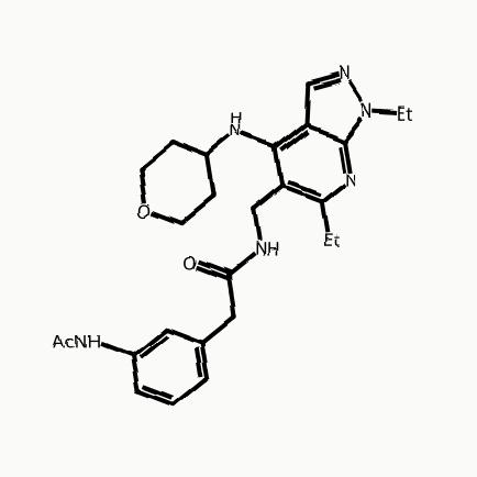 CCc1nc2c(cnn2CC)c(NC2CCOCC2)c1CNC(=O)Cc1cccc(NC(C)=O)c1